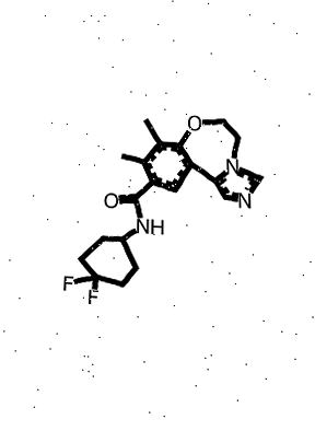 Cc1c(C(=O)NC2CCC(F)(F)CC2)cc2c(c1C)OCCn1cncc1-2